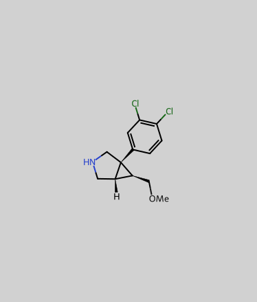 COC[C@H]1[C@@H]2CNC[C@@]21c1ccc(Cl)c(Cl)c1